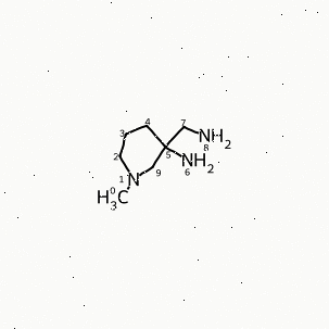 CN1CCCC(N)(CN)C1